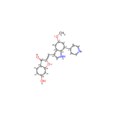 COc1cc(-c2ccncc2)c2[nH]cc(/C=C3\Oc4cc(O)ccc4C3=O)c2c1